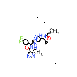 CCCC(=O)N[C@@H](c1cnn2cc([C@@H](NC(=O)c3cncnc3C)C3CCC(F)(F)CC3)nc2c1)C1CC1